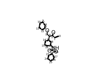 C=CC(=O)C(COc1c[c]ccc1)c1cccc(NS(=O)(=O)c2ccccc2)c1